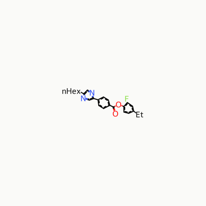 CCCCCCc1cnc(-c2ccc(C(=O)Oc3ccc(CC)cc3F)cc2)cn1